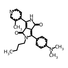 CCCCN1C(=O)C2=C(c3ccncc3C)NC(=O)C2=C1c1ccc(N(C)C)cc1